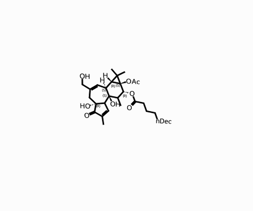 CCCCCCCCCCCCCC(=O)O[C@@H]1C(C)[C@]2(O)C3C=C(C)C(=O)[C@@]3(O)CC(CO)=C[C@H]2[C@@H]2C(C)(C)[C@]12OC(C)=O